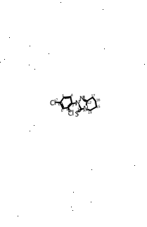 S=c1n(-c2ccc(Cl)cc2Cl)nc2n1CCCC2